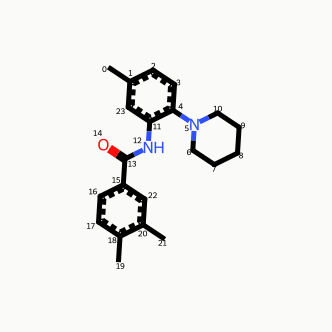 Cc1ccc(N2CCCCC2)c(NC(=O)c2ccc(C)c(C)c2)c1